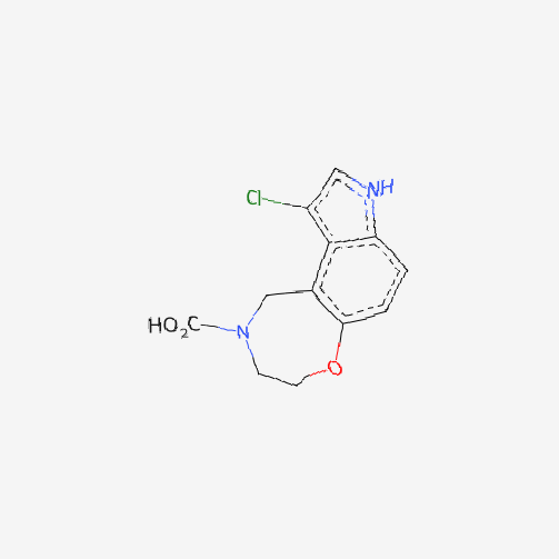 O=C(O)N1CCOc2ccc3[nH]cc(Cl)c3c2C1